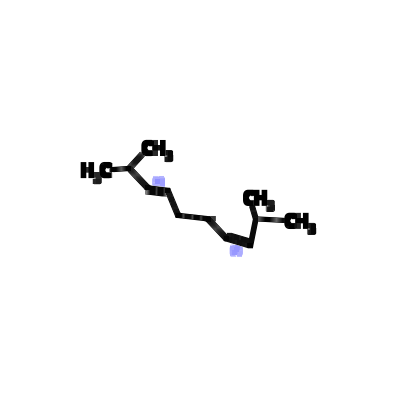 CC(C)/C=C\[CH]C/C=C/C(C)C